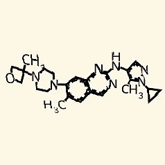 Cc1cc2cnc(Nc3cnn(C4CC4)c3C)nc2cc1N1CCN(C2(C)COC2)CC1